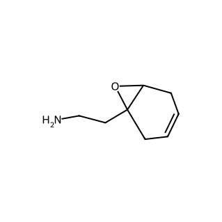 NCCC12CC=CCC1O2